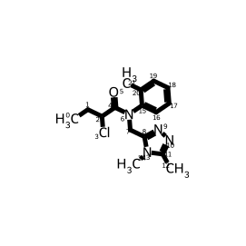 CCC(Cl)C(=O)N(Cc1nnc(C)n1C)c1ccccc1C